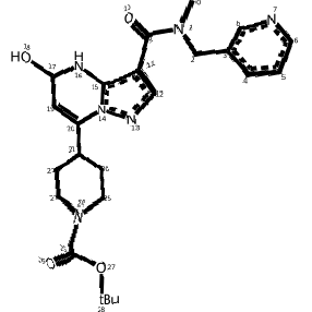 CN(Cc1cccnc1)C(=O)c1cnn2c1NC(O)C=C2C1CCN(C(=O)OC(C)(C)C)CC1